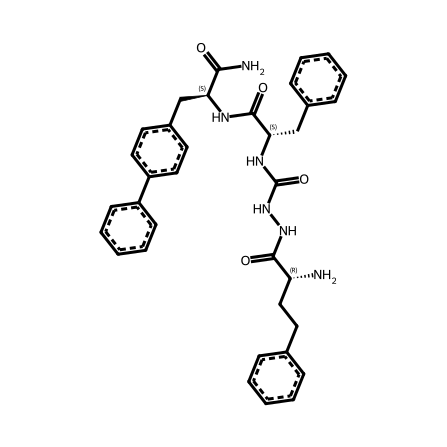 NC(=O)[C@H](Cc1ccc(-c2ccccc2)cc1)NC(=O)[C@H](Cc1ccccc1)NC(=O)NNC(=O)[C@H](N)CCc1ccccc1